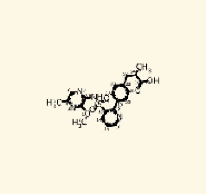 COc1nc(C)cnc1NS(=O)(=O)c1cccnc1-c1ccc(CC(C)C(=O)O)cc1